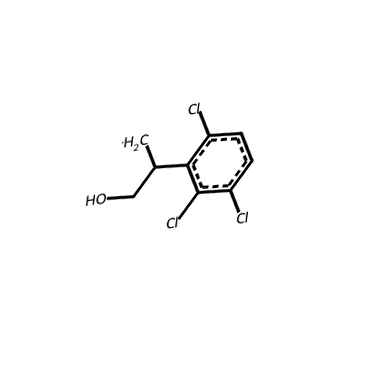 [CH2]C(CO)c1c(Cl)ccc(Cl)c1Cl